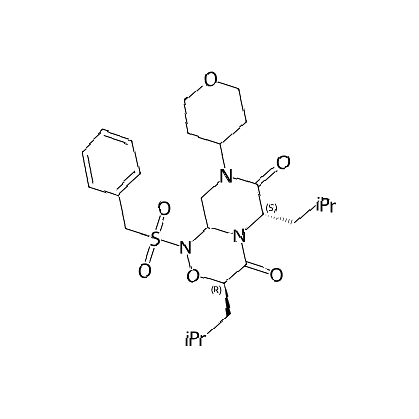 CC(C)C[C@H]1ON(S(=O)(=O)Cc2ccccc2)C2CN(C3CCOCC3)C(=O)[C@H](CC(C)C)N2C1=O